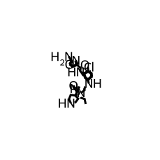 CCCN(CCNc1ccc(Cl)c(NC(=O)c2coc(N)n2)c1)S(C)(N=O)C1CCNCC1